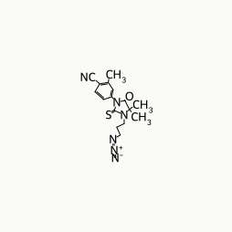 Cc1cc(N2C(=O)C(C)(C)N(CCCN=[N+]=[N-])C2=S)ccc1C#N